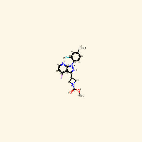 CC(C)(C)OC(=O)N1CC(c2nn(-c3ccc(C=O)cc3F)c3nccc(I)c23)C1